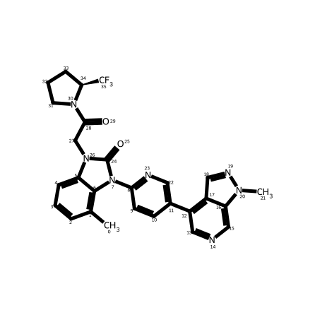 Cc1cccc2c1n(-c1ccc(-c3cncc4c3cnn4C)cn1)c(=O)n2CC(=O)N1CCC[C@H]1C(F)(F)F